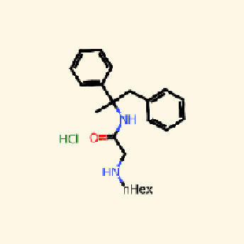 CCCCCCNCC(=O)NC(C)(Cc1ccccc1)c1ccccc1.Cl